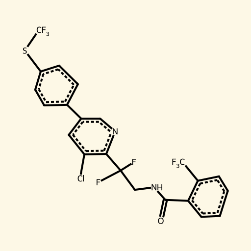 O=C(NCC(F)(F)c1ncc(-c2ccc(SC(F)(F)F)cc2)cc1Cl)c1ccccc1C(F)(F)F